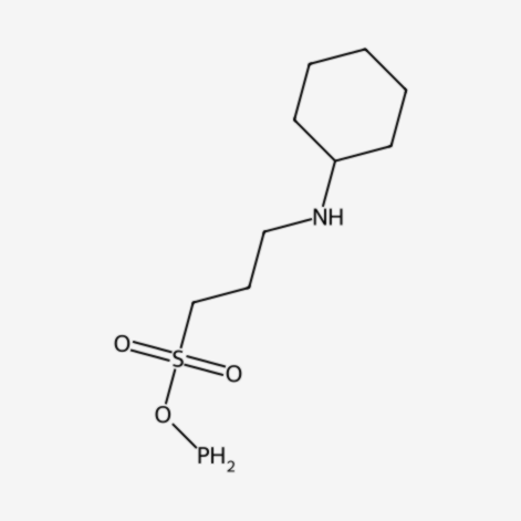 O=S(=O)(CCCNC1CCCCC1)OP